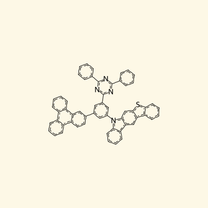 c1ccc(-c2nc(-c3ccccc3)nc(-c3cc(-c4ccc5c6ccccc6c6ccccc6c5c4)cc(-n4c5ccccc5c5cc6c(cc54)sc4ccccc46)c3)n2)cc1